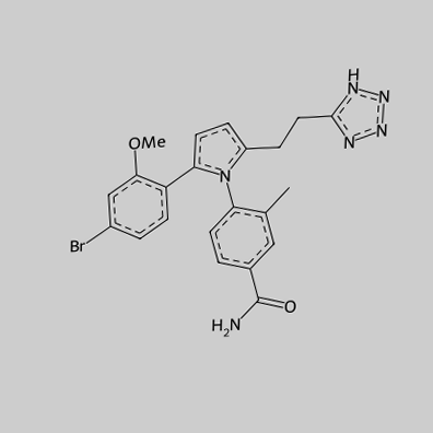 COc1cc(Br)ccc1-c1ccc(CCc2nnn[nH]2)n1-c1ccc(C(N)=O)cc1C